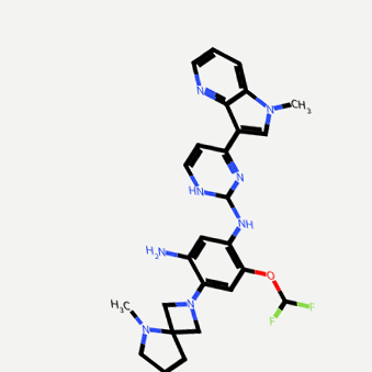 CN1CCCC12CN(c1cc(OC(F)F)c(NC3N=C(c4cn(C)c5cccnc45)C=CN3)cc1N)C2